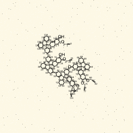 C#CCOc1cc2ccc(C3(c4ccc(-c5ccc(C6(c7ccc8cc(OCC#C)c(O)cc8c7)c7ccccc7-c7ccc(-c8ccc9c(c8)-c8ccccc8C9(c8ccc(Oc9ccc(C%10(c%11ccc%12cc(OCC#C)c(OCC#C)cc%12c%11)c%11ccccc%11-c%11ccccc%11%10)cc9)cc8)c8ccc9cc(OCC#C)c(OCC#C)cc9c8)cc76)cc5)cc4)c4ccccc4-c4ccccc43)cc2cc1O